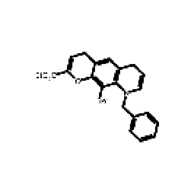 CCCc1c2c(cc3c1N(Cc1ccccc1)C=CC3)CC=C(C(=O)OCC)O2